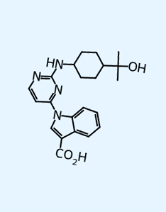 CC(C)(O)C1CCC(Nc2nccc(-n3cc(C(=O)O)c4ccccc43)n2)CC1